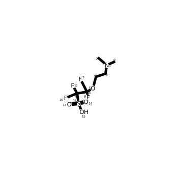 CN(C)CCOC(F)(F)C(F)(F)S(=O)(=O)O